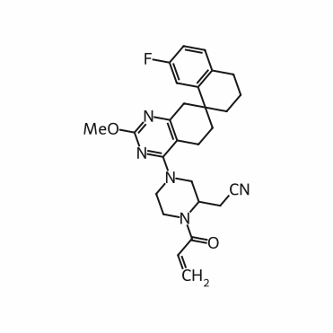 C=CC(=O)N1CCN(c2nc(OC)nc3c2CCC2(CCCc4ccc(F)cc42)C3)CC1CC#N